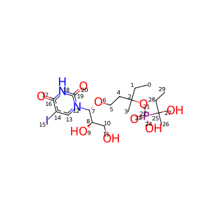 CCC(C)(CCO[C@H]([C@H](O)CO)n1cc(I)c(=O)[nH]c1=O)OP(=O)(O)C(C)(O)CC